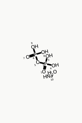 O.O=P(O)(O)OP(=O)(O)O.[NaH]